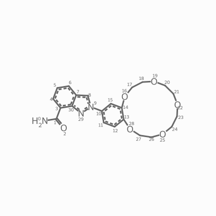 NC(=O)c1cccc2cn(-c3ccc4c(c3)OCCOCCOCCOCCO4)nc12